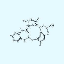 Cc1ccc2cc1CN1C[C@H](Oc3ccccc3S1)c1cc(c(C)cc1F)C2CC(=O)O